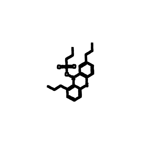 CCCc1ccc2c(c1)N(OS(=O)(=O)CCC)c1c(CCC)cccc1S2